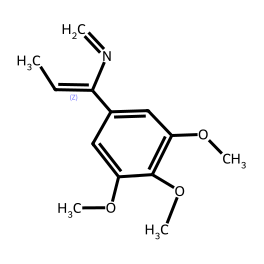 C=N/C(=C\C)c1cc(OC)c(OC)c(OC)c1